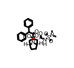 CN(C)S(=O)(=O)NC(=O)[C@@H]1[C@H]2CC[C@@H](CN1C(=O)C(c1ccccc1)c1ccccc1)N2C(=O)O